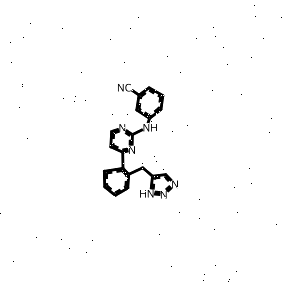 N#Cc1cccc(Nc2nccc(-c3ccccc3Cc3cnn[nH]3)n2)c1